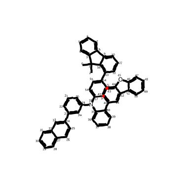 CC1(C)c2ccccc2-c2cccc(-c3ccc(N(c4cccc(-c5ccc6ccccc6c5)c4)c4ccccc4-c4ccc5oc6ccccc6c5c4)cc3)c21